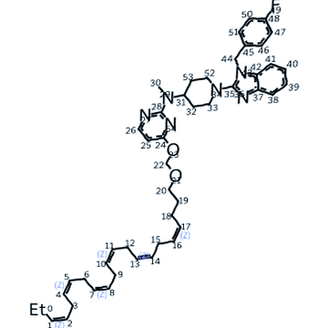 CC/C=C\C/C=C\C/C=C\C/C=C\C/C=C\C/C=C\CCCOCOc1ccnc(N(C)C2CCN(c3nc4ccccc4n3Cc3ccc(F)cc3)CC2)n1